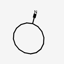 N#CC1CCCCCCCCCCCCCCC1